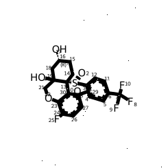 O=S(=O)(c1ccc(C(F)(F)F)cc1)[C@@]12CC[C@@H](O)CC1(O)COc1c(F)ccc(F)c12